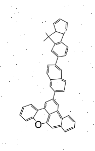 CC1(C)c2cc(-c3ccc4cc(-c5cc6c7c(cc8ccccc8c7c5)Oc5ccccc5-6)ccc4c3)ccc2C2C=CC=CC21